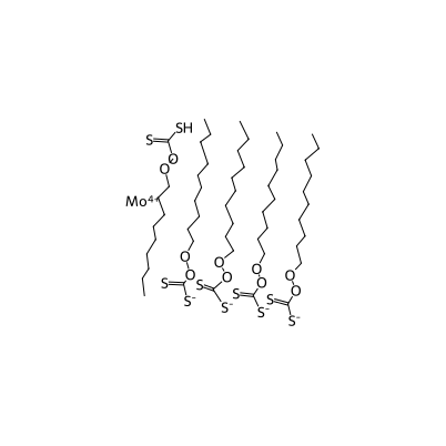 CCCCCCCCCCOOC(=S)[S-].CCCCCCCCCCOOC(=S)[S-].CCCCCCCCCCOOC(=S)[S-].CCCCCCCCCCOOC(=S)[S-].CCCCCCCCCOOC(=S)S.[Mo+4]